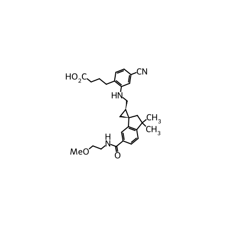 COCCNC(=O)c1ccc2c(c1)[C@@]1(C[C@H]1CNc1cc(C#N)ccc1CCCC(=O)O)CC2(C)C